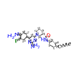 COc1ccc(NC(=O)[C@H]2CCCN(c3cc(-c4ccc(N)c(F)c4)nc(N)n3)C2)cc1